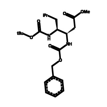 COC(=O)C[C@H](NC(=O)OCc1ccccc1)[C@H](CC(C)C)NC(=O)OC(C)(C)C